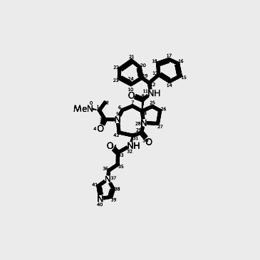 CN[C@H](C)C(=O)N1CC[C@]2(C(=O)NC(c3ccccc3)c3ccccc3)CCCN2C(=O)[C@@H](NC(=O)CCn2ccnc2)C1